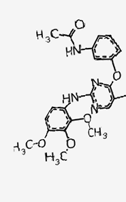 COc1ccc(Nc2ncc(Cl)c(Oc3cccc(NC(C)=O)c3)n2)c(OC)c1OC